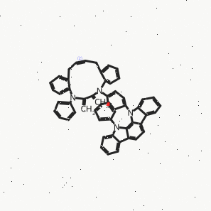 C=C1C(=C)N(c2ccc(-n3c4ccccc4c4ccc5c6ccccc6n(-c6ccccc6)c5c43)cc2)c2ccccc2C/C=C\Cc2ccccc2N1c1ccccc1